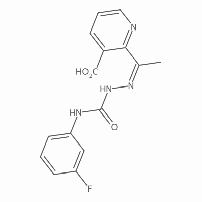 CC(=NNC(=O)Nc1cccc(F)c1)c1ncccc1C(=O)O